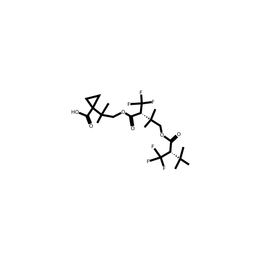 CC(C)(C)[C@@H](C(=O)OCC(C)(C)[C@H](C(=O)OCC(C)(C)C1(C(=O)O)CC1)C(F)(F)F)C(F)(F)F